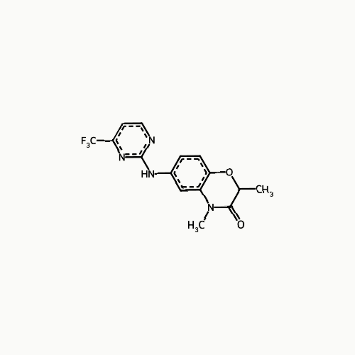 CC1Oc2ccc(Nc3nccc(C(F)(F)F)n3)cc2N(C)C1=O